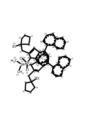 CCC1(CC2=Cc3c(-c4cccc5ccccc45)cccc3[CH]2[Zr]([Cl])([Cl])([CH]2C(CC3(CC)CCCC3)=Cc3c(-c4cccc5ccccc45)cccc32)[SiH](C)C)CCCC1